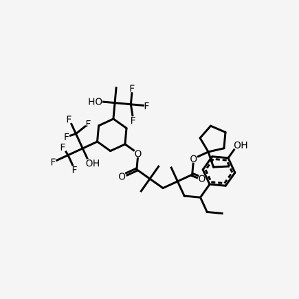 CCC(CC(C)(CC(C)(C)C(=O)OC1CC(C(C)(O)C(F)(F)F)CC(C(O)(C(F)(F)F)C(F)(F)F)C1)C(=O)OC1(CC)CCCC1)c1ccc(O)cc1